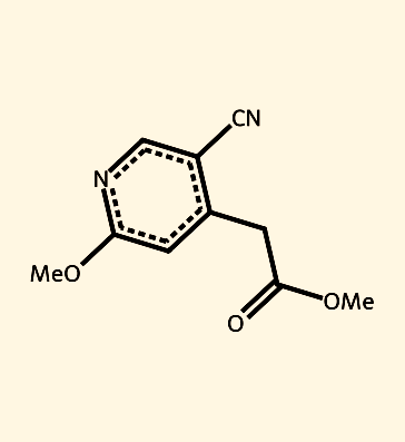 COC(=O)Cc1cc(OC)ncc1C#N